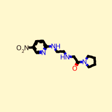 O=C(CNCCNc1ccc([N+](=O)[O-])cn1)N1CCCC1